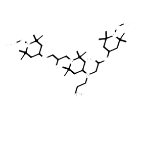 CCCCCCCCCCCCN(CC(O)OC1CC(C)(C)N(OCCCCCCCC)C(C)(C)C1)C1CC(C)(C)N(CC(O)COC2CC(C)(C)N(OCCCCCCCC)C(C)(C)C2)C(C)(C)C1